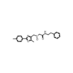 Cc1ccc(-c2nc(C[S+]([O-])CC(=O)NCCc3ccccc3)c(C)o2)cc1